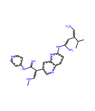 CN/C=C(\C(=N)Nc1ccncc1)c1cnc2ccc(N/C(N)=C/C(=C\N)C(C)C)nc2c1